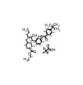 CCCN(CC1CCN(C(=O)OCC)CC1)C(C)Cc1cccc(NC(=O)c2ccc(C(C)(C)C)cc2)c1.O=C(O)C(F)(F)F